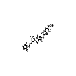 CC(C)C(N[C@@H](CCCCCN1C(=O)C=CC1=O)C(F)(F)F)C(=O)NCC(=O)Nc1ccc(CO)cc1